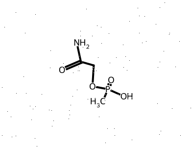 CP(=O)(O)OCC(N)=O